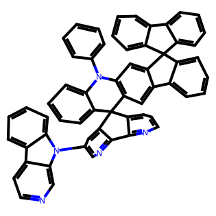 c1ccc(N2c3ccccc3C3(c4cc5c(cc42)C2(c4ccccc4-c4ccccc42)c2ccccc2-5)c2cccnc2-c2ncc(-n4c5ccccc5c5ccncc54)cc23)cc1